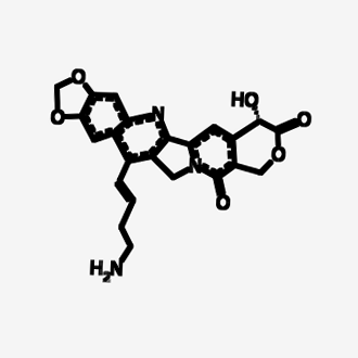 NCC/C=C/c1c2c(nc3cc4c(cc13)OCO4)-c1cc3c(c(=O)n1C2)COC(=O)[C@H]3O